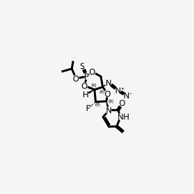 C=C1C=CN([C@@H]2O[C@]3(N=[N+]=[N-])COP(=S)(OC(C)C)O[C@H]3[C@H]2F)C(=O)N1